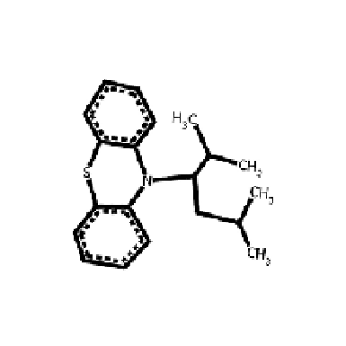 CC(C)CC(C(C)C)N1c2ccccc2Sc2ccccc21